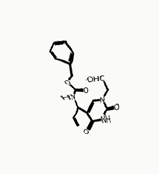 C=CC(NC(=O)OCc1ccccc1)c1cn(C[C]=O)c(=O)[nH]c1=O